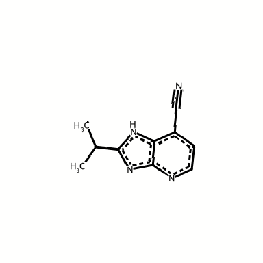 CC(C)c1nc2nccc(C#N)c2[nH]1